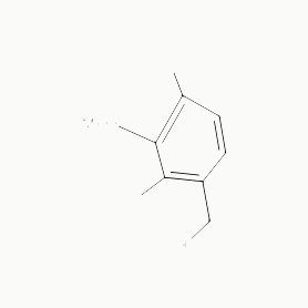 COc1c(F)ccc(CBr)c1F